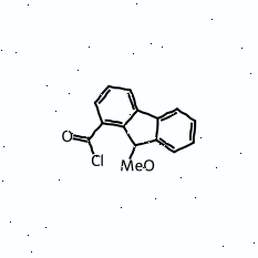 COC1c2ccccc2-c2cccc(C(=O)Cl)c21